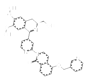 COc1cc2c(cc1OC)C(c1ccnc(-n3ccc4c(OCc5cccnc5)cccc4c3=O)c1)=N[C@H](CO)C2